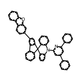 c1ccc(-c2cc(-c3ccccc3)nc(N3c4ccccc4C4(c5ccccc5-c5cc(-c6ccc7c(c6)oc6ccccc67)ccc54)c4ccccc43)c2)cc1